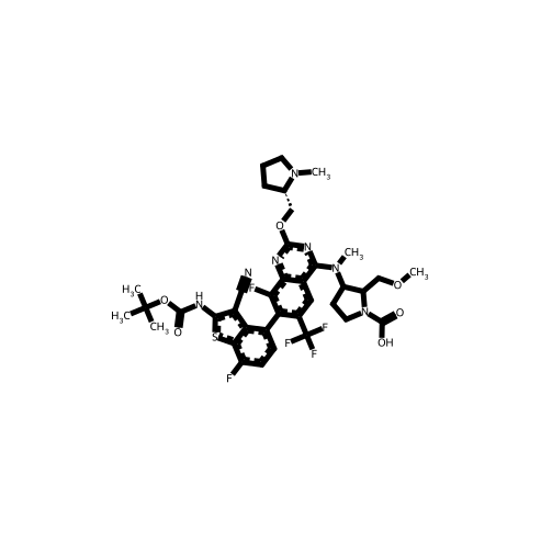 COCC1C(N(C)c2nc(OC[C@@H]3CCCN3C)nc3c(F)c(-c4ccc(F)c5sc(NC(=O)OC(C)(C)C)c(C#N)c45)c(C(F)(F)F)cc23)CCN1C(=O)O